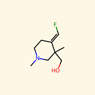 CN1CCC(=CF)C(C)(CO)C1